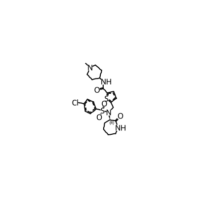 CN1CCC(NC(=O)c2ccc(CN([C@@H]3CCCCNC3=O)S(=O)(=O)c3ccc(Cl)cc3)s2)CC1